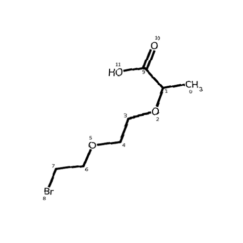 CC(OCCOCCBr)C(=O)O